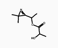 CC(O)C(=O)OC(C)C1=NC1(C)C